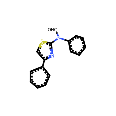 O=CN(c1ccccc1)c1nc(-c2ccccc2)cs1